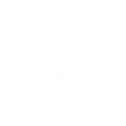 N#Cc1c(NC(=O)c2nn3c(C(F)(F)F)cc(-c4ccccc4)nc3c2Cl)sc2c1CCCCC2